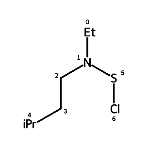 CCN(CCC(C)C)SCl